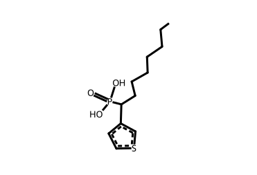 CCCCCCCC(c1ccsc1)P(=O)(O)O